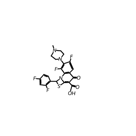 CN1CCN(c2c(F)cc3c(=O)c(C(=O)O)c4n(c3c2F)C(c2ccc(F)cc2F)S4)CC1